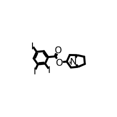 CN1C2CCC1CC(OC(=O)c1cc(I)cc(I)c1I)C2